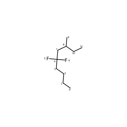 CCCCC(F)(F)CC(C)CC